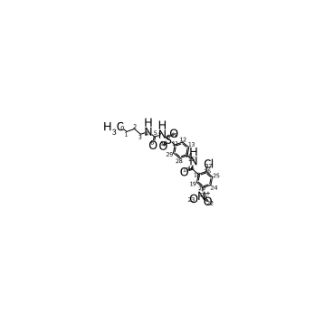 CCCCNC(=O)NS(=O)(=O)c1ccc(NC(=O)c2cc([N+](=O)[O-])ccc2Cl)cc1